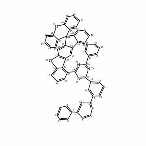 c1ccc(-c2cccc(-c3cccc(-c4nc(-c5ccccc5)nc(-c5cccc6oc7cc8c(cc7c56)-c5ccccc5C85c6ccccc6Oc6ccccc65)n4)c3)c2)cc1